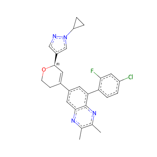 Cc1nc2cc(C3=C[C@H](c4cnn(C5CC5)c4)OCC3)cc(-c3ccc(Cl)cc3F)c2nc1C